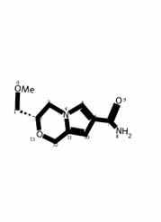 COC[C@@H]1Cn2cc(C(N)=O)cc2CO1